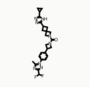 Cc1nc(C(F)F)nn1-c1ccc(C2CN(C(=O)N3CC4(CC(c5nnc(C6CC6)[nH]5)C4)C3)C2)cc1